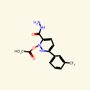 NNC(=O)C1=CC=C(c2cccc(C(F)(F)F)c2)NN1OC(=O)C(=O)O